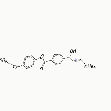 CCCCCC/C=C/C(O)c1ccc(C(=O)Oc2ccc(OCCCCCCCCCC)cc2)cc1